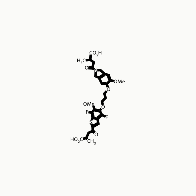 COc1cc2c(cc1OCCCOc1c(OC)c(F)c3sc(C(=O)CC(C)C(=O)O)cc3c1F)CN(C(=O)CC(C)C(=O)O)C2